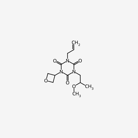 C=CCn1c(=O)n(CC(C)OC)c(=O)n(C2COC2)c1=O